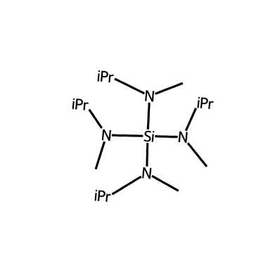 CC(C)N(C)[Si](N(C)C(C)C)(N(C)C(C)C)N(C)C(C)C